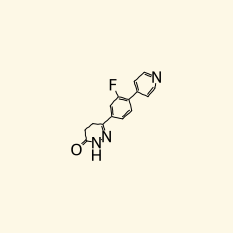 O=C1CCC(c2ccc(-c3ccncc3)c(F)c2)=NN1